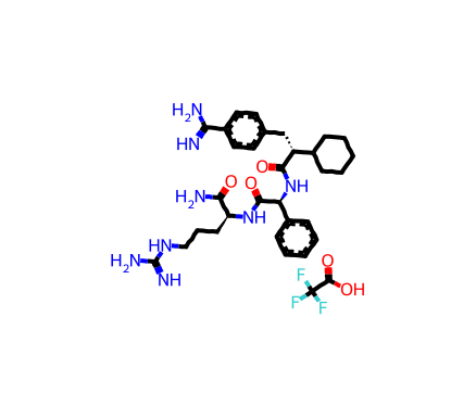 N=C(N)NCCC[C@H](NC(=O)[C@@H](NC(=O)[C@H](Cc1ccc(C(=N)N)cc1)C1CCCCC1)c1ccccc1)C(N)=O.O=C(O)C(F)(F)F